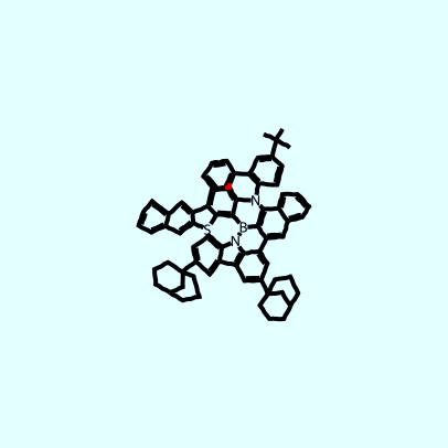 CC(C)(C)c1ccc(N2c3ccc4c(sc5cc6ccccc6cc54)c3B3c4c(cc5ccccc5c42)-c2cc(C45CCCC(CCC4)C5)cc4c5cc(C67CCCC(CCC6)C7)ccc5n3c24)c(-c2ccccc2)c1